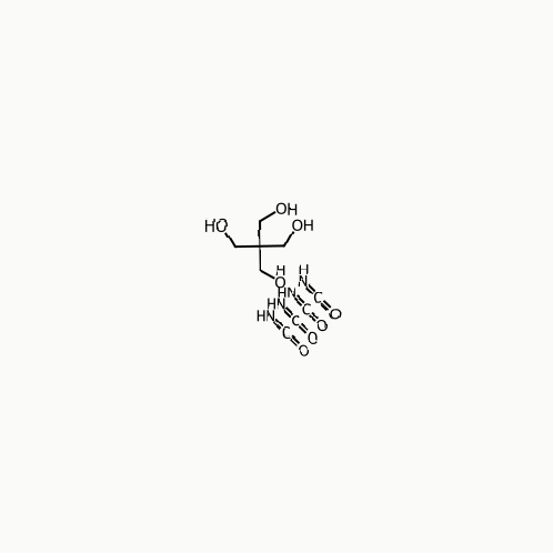 N=C=O.N=C=O.N=C=O.N=C=O.OCC(CO)(CO)CO